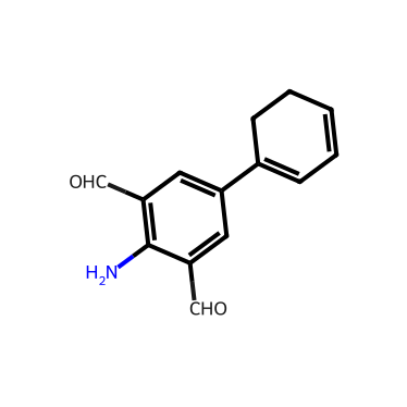 Nc1c(C=O)cc(C2=CC=CCC2)cc1C=O